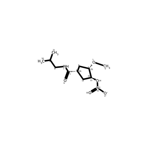 CO[C@H]1C[C@@H](C(=O)NCC(C)C)C[C@@H]1O[N+](=O)[O-]